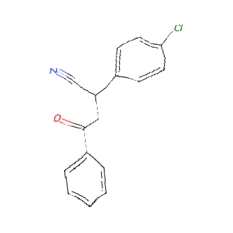 N#CC(CC(=O)c1ccccc1)c1ccc(Cl)cc1